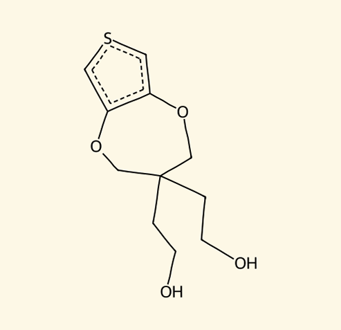 OCCC1(CCO)COc2cscc2OC1